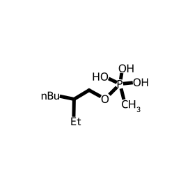 CCCCC(CC)COP(C)(O)(O)O